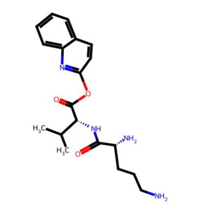 CC(C)[C@@H](NC(=O)[C@H](N)CCCN)C(=O)Oc1ccc2ccccc2n1